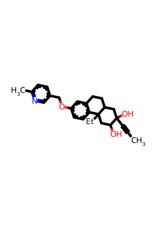 CC#CC1(O)CC2CCc3cc(OCc4ccc(C)nc4)ccc3C2(CC)CC1O